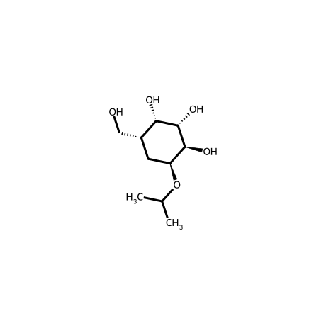 CC(C)O[C@H]1C[C@H](CO)[C@H](O)[C@H](O)[C@H]1O